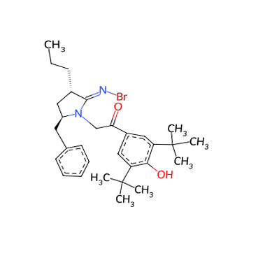 CCC[C@H]1C[C@H](Cc2ccccc2)N(CC(=O)c2cc(C(C)(C)C)c(O)c(C(C)(C)C)c2)/C1=N\Br